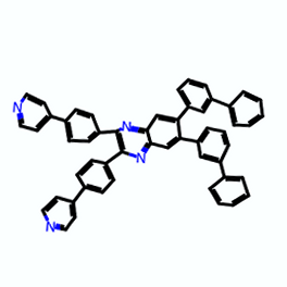 c1ccc(-c2cccc(-c3cc4nc(-c5ccc(-c6ccncc6)cc5)c(-c5ccc(-c6ccncc6)cc5)nc4cc3-c3cccc(-c4ccccc4)c3)c2)cc1